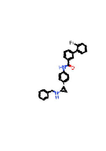 CCc1ccccc1-c1cccc(C(=O)Nc2ccc([C@@H]3C[C@H]3NCc3ccccc3)cc2)c1